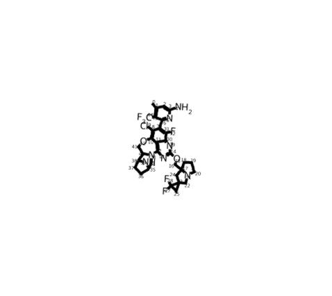 Cc1cc(N)nc(-c2c(Cl)c3c4c(nc(OCC56CCCN5CC5(C6)CC5(F)F)nc4c2F)N2CC4CCC(N4)C2CO3)c1C(F)(F)F